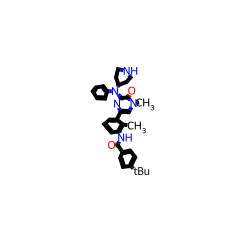 Cc1c(NC(=O)c2ccc(C(C)(C)C)cc2)cccc1-c1cn(C)c(=O)c(N(c2ccccc2)C2CCNCC2)n1